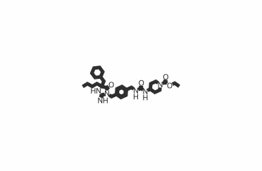 CCCCC1(CC2CCCCC2)NC(=N)N(Cc2ccc(CNC(=O)NC3CCN(C(=O)OCC)CC3)cc2)C1=O